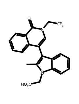 Cc1c(-c2cn(CC(F)(F)F)c(=O)c3ccccc23)c2ccccc2n1CC(=O)O